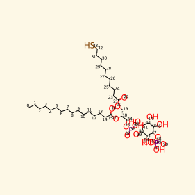 CCCCCCCCCCCCCCCC(=O)O[C@H](COC(=O)CCCCCCCCCCS)COP(=O)(O)OC1C(O)[C@H](O)C(O)[C@H](OP(=O)(O)O)[C@@H]1O